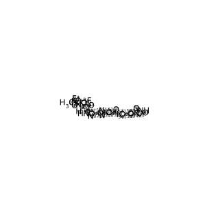 CCN(C)S(=O)(=O)Nc1ccc(F)c(C(=O)c2c[nH]c3ncc(-c4cnc(N5CCN(C(=O)CN6CCC(c7ccc(N8CCC(=O)NC8=O)cc7)CC6)CC5)nc4)cc23)c1F